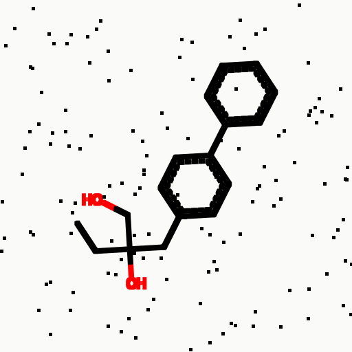 CCC(O)(CO)Cc1ccc(-c2ccccc2)cc1